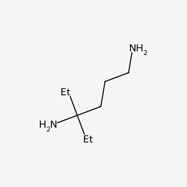 CCC(N)(CC)CCCN